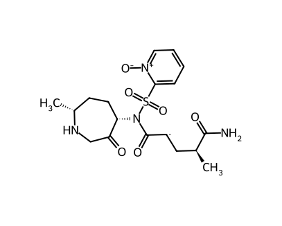 C[C@@H]1CC[C@H](N(C(=O)[CH]C[C@H](C)C(N)=O)S(=O)(=O)c2cccc[n+]2[O-])C(=O)CN1